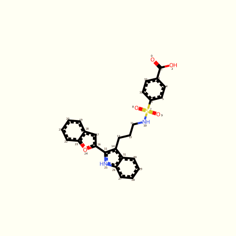 O=C(O)c1ccc(S(=O)(=O)NCCCc2c(-c3cc4ccccc4o3)[nH]c3ccccc23)cc1